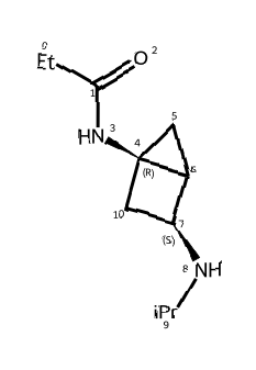 CCC(=O)N[C@@]12CC1[C@@H](NC(C)C)C2